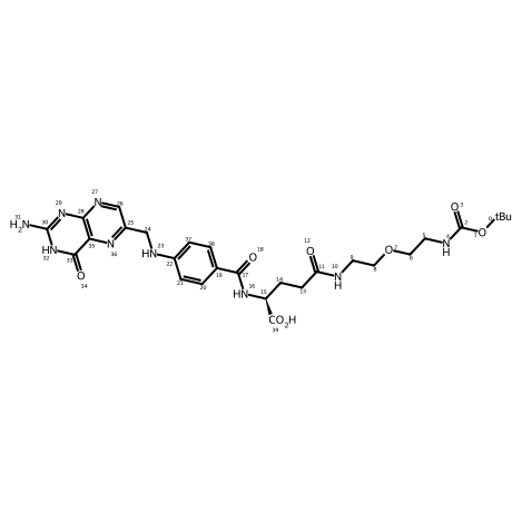 CC(C)(C)OC(=O)NCCOCCNC(=O)CC[C@H](NC(=O)c1ccc(NCc2cnc3nc(N)[nH]c(=O)c3n2)cc1)C(=O)O